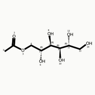 CC(=O)OC[C@@H](O)[C@@H](O)[C@H](O)[C@H](O)CO